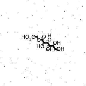 O=C(O)COC(=O)[C@H](O)[C@@H](O)[C@H](O)[C@H](O)CO